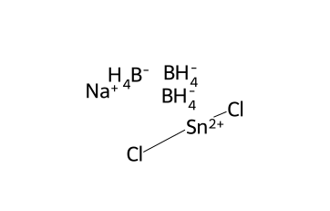 [BH4-].[BH4-].[BH4-].[Cl][Sn+2][Cl].[Na+]